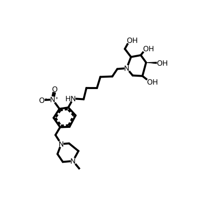 CN1CCN(Cc2ccc(NCCCCCCN3CC(O)[C@H](O)C(O)C3CO)c([N+](=O)[O-])c2)CC1